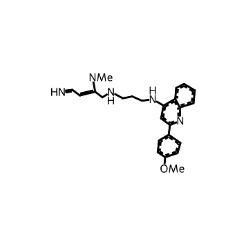 CN/C(=C\C=N)CNCCCNc1cc(-c2ccc(OC)cc2)nc2ccccc12